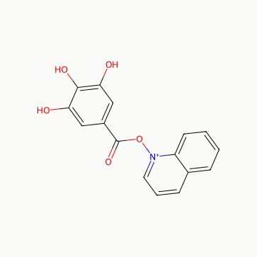 O=C(O[n+]1cccc2ccccc21)c1cc(O)c(O)c(O)c1